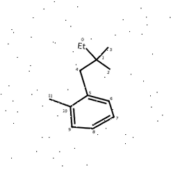 [CH2]CC(C)(C)Cc1ccccc1C